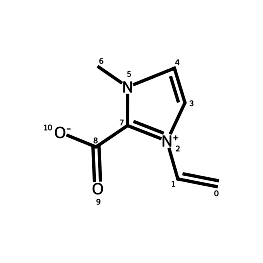 C=C[n+]1ccn(C)c1C(=O)[O-]